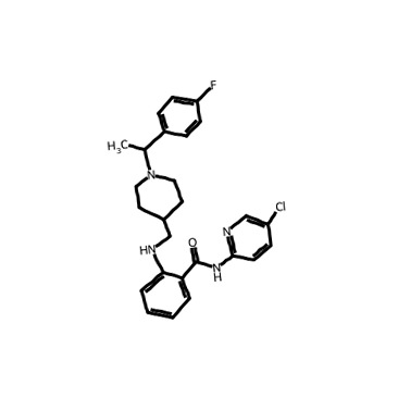 CC(c1ccc(F)cc1)N1CCC(CNc2ccccc2C(=O)Nc2ccc(Cl)cn2)CC1